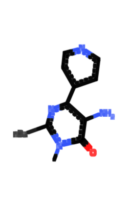 CCCCc1nc(-c2ccncc2)c(N)c(=O)n1C